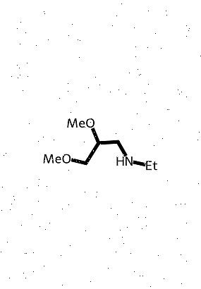 CCNCC(COC)OC